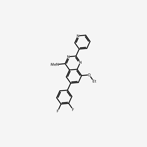 CCOc1cc(-c2ccc(F)c(F)c2)cc2c(NC)nc(-c3cccnc3)nc12